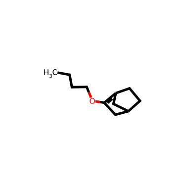 CCCCOC1=C2CCC(C2)C1